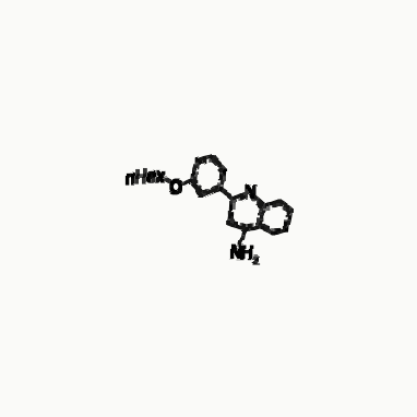 CCCCCCOc1cccc(-c2cc(N)c3ccccc3n2)c1